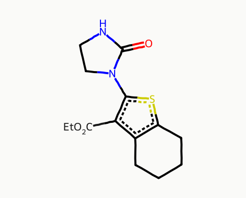 CCOC(=O)c1c(N2CCNC2=O)sc2c1CCCC2